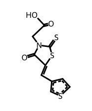 O=C(O)CN1C(=O)C(=Cc2ccsc2)SC1=S